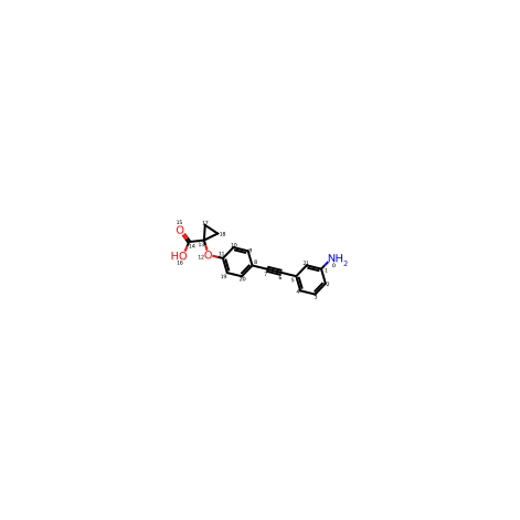 Nc1cccc(C#Cc2ccc(OC3(C(=O)O)CC3)cc2)c1